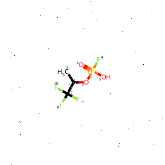 CC(OP(=O)(O)F)C(F)(F)F